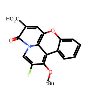 CC(C)(C)Oc1c(F)cn2c(=O)c(C(=O)O)cc3c2c1-c1ccccc1O3